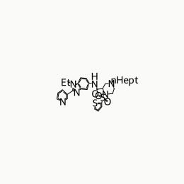 CCCCCCCN1CCN(S(=O)(=O)c2cccs2)C(C(=O)Nc2ccc3c(c2)nc(-c2cccnc2)n3CC)C1